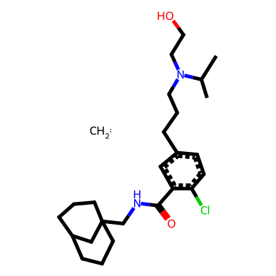 CC(C)N(CCO)CCCc1ccc(Cl)c(C(=O)NCC23CCCC(CCC2)C3)c1.[CH2]